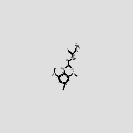 COc1cc(C)cc(OC)c1OC(=O)CNC(=O)CN